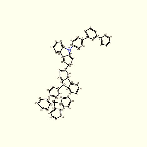 c1ccc(-c2cccc(-c3ccc(-n4c5ccccc5c5cc(-c6ccc7c(c6)-c6ccccc6C7c6cccc(C(c7ccccc7)(c7ccccc7)c7ccccc7)c6)ccc54)cc3)c2)cc1